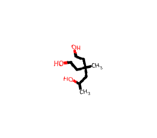 CC(O)CC(C)(CCO)CCO